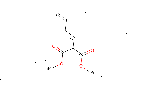 C=CCCC(C(=O)OC(C)C)C(=O)OC(C)C